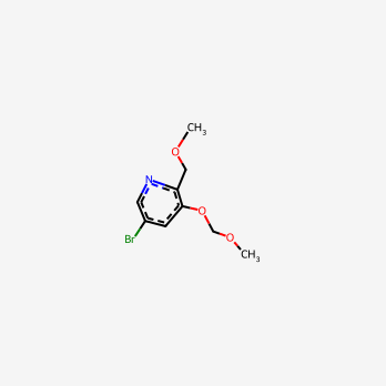 COCOc1cc(Br)cnc1COC